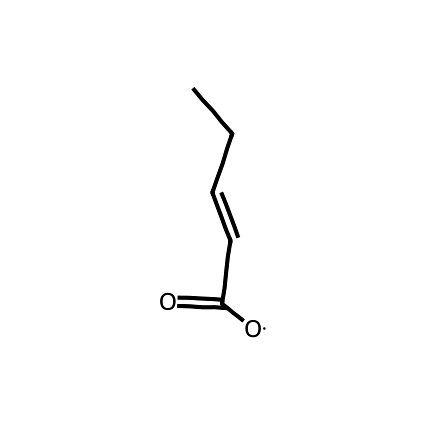 CCC=CC([O])=O